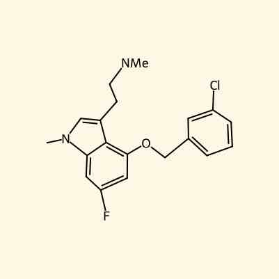 CNCCc1cn(C)c2cc(F)cc(OCc3cccc(Cl)c3)c12